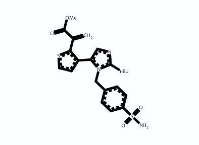 C=C(C(=O)OC)c1sccc1-c1cnc(CCCC)n1Cc1ccc(S(N)(=O)=O)cc1